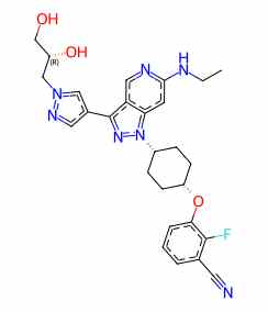 CCNc1cc2c(cn1)c(-c1cnn(C[C@@H](O)CO)c1)nn2[C@H]1CC[C@@H](Oc2cccc(C#N)c2F)CC1